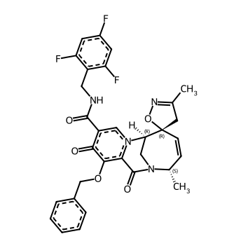 CC1=NO[C@@]2(C=C[C@H](C)N3C[C@H]2n2cc(C(=O)NCc4c(F)cc(F)cc4F)c(=O)c(OCc4ccccc4)c2C3=O)C1